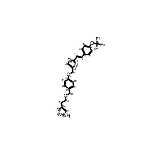 FC(F)(F)Oc1ccc(C=Cc2nc(COc3ccc(COCCc4c[nH]nn4)cc3)co2)cc1